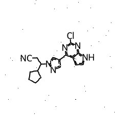 N#CCC(C1CCCC1)n1cc(-c2nc(Cl)nc3[nH]ccc23)cn1